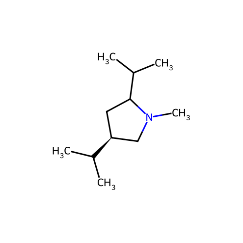 CC(C)C1C[C@H](C(C)C)CN1C